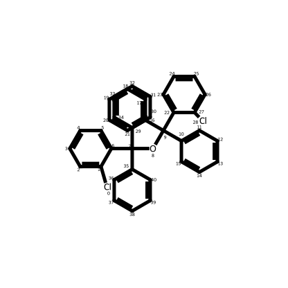 Clc1ccccc1C(OC(c1ccccc1)(c1ccccc1)c1ccccc1Cl)(c1ccccc1)c1ccccc1